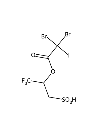 O=C(OC(CS(=O)(=O)O)C(F)(F)F)C(Br)(Br)I